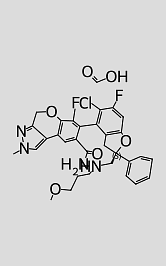 COCCCNC[C@@]1(c2ccccc2)Cc2c(cc(F)c(Cl)c2-c2c(C(N)=O)cc3c(c2F)OCc2nn(C)cc2-3)O1.O=CO